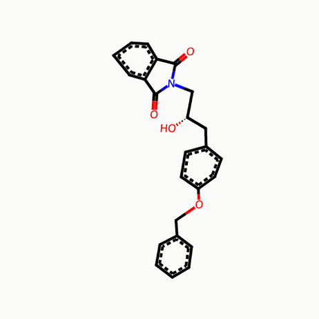 O=C1c2ccccc2C(=O)N1C[C@@H](O)Cc1ccc(OCc2ccccc2)cc1